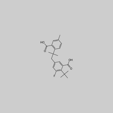 Cc1ccc(C(C)(C)Cc2cc(F)c(C(C)(C)C)c(C(=O)O)c2)c(C(=O)O)c1